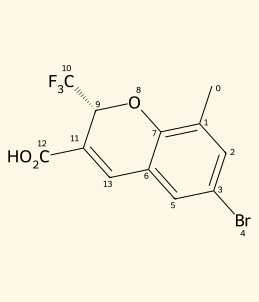 Cc1cc(Br)cc2c1O[C@@H](C(F)(F)F)C(C(=O)O)=C2